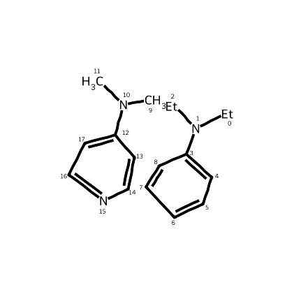 CCN(CC)c1ccccc1.CN(C)c1ccncc1